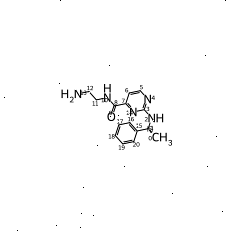 C[C@H](Nc1nccc(C(=O)NCCN)n1)c1ccccc1